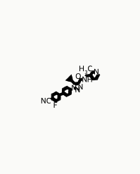 Cc1ncccc1CNC(=O)c1nnn(-c2ccc(-c3ccc(C#N)c(F)c3)cc2)c1C1CC1